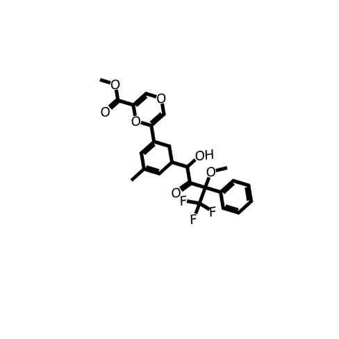 COC(=O)C1=COC=C(C2=CC(C)=CC(C(O)C(=O)C(OC)(c3ccccc3)C(F)(F)F)C2)O1